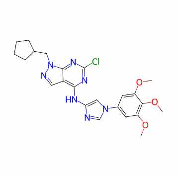 COc1cc(-n2cnc(Nc3nc(Cl)nc4c3cnn4CC3CCCC3)c2)cc(OC)c1OC